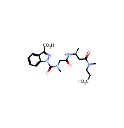 C[C@@H](CC(=O)N(C)CCC(=O)O)NC(=O)CN(C)C(=O)n1nc(C(=O)O)c2ccccc21